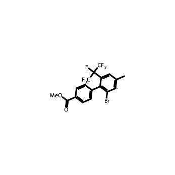 COC(=O)c1ccc(-c2c(Br)[c]c(C)cc2C(F)(C(F)(F)F)C(F)(F)F)cc1